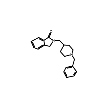 O=C1c2ccccc2CN1CC1CCN(Cc2ccccc2)CC1